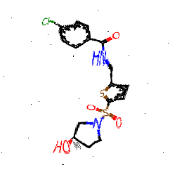 O=C(NCc1ccc(S(=O)(=O)N2CC[C@@H](O)C2)s1)c1ccc(Cl)cc1